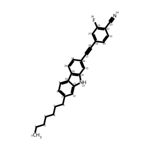 CCCCCCCc1ccc2c(c1)[nH]c1cc(C#Cc3ccc(C#N)c(F)c3)ccc12